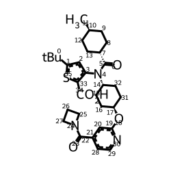 CC(C)(C)c1cc(N(C(=O)[C@H]2CC[C@H](C)CC2)[C@H]2CC[C@H](Oc3cc(C(=O)N4CCC4)ccn3)CC2)c(C(=O)O)s1